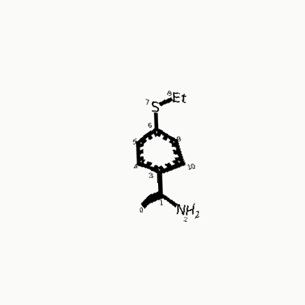 C=C(N)c1ccc(SCC)cc1